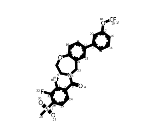 CCc1c(C(=O)N2CCOc3ccc(-c4cccc(OC(F)(F)F)c4)cc3C2)ccc(S(C)(=O)=O)c1F